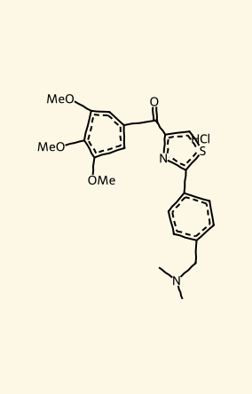 COc1cc(C(=O)c2csc(-c3ccc(CN(C)C)cc3)n2)cc(OC)c1OC.Cl